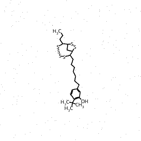 CCCC1SSSSC(CCCCCCCc2ccc(C(C)(C)C)c(O)c2)C2CC1SS2